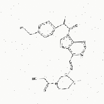 CC(C)Cc1ccc(C(C)C(=O)n2ccc3c(C=N[C@H]4CN(C(=O)CC#N)CC[C@H]4C)ncnc32)cc1